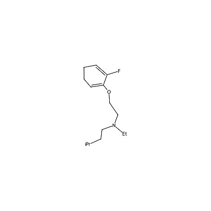 CCN(CCOC1=CCCC=C1F)CCC(C)C